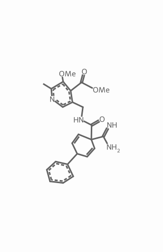 COC(=O)c1c(CNC(=O)C2(C(=N)N)C=CC(c3ccccc3)C=C2)cnc(C)c1OC